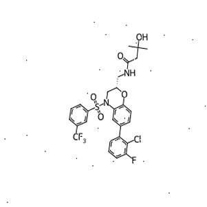 CC(C)(O)CC(=O)NC[C@H]1CN(S(=O)(=O)c2cccc(C(F)(F)F)c2)c2cc(-c3cccc(F)c3Cl)ccc2O1